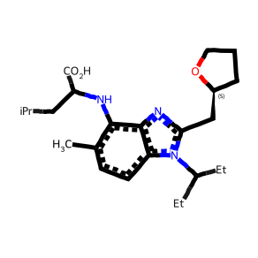 CCC(CC)n1c(C[C@@H]2CCCO2)nc2c(NC(CC(C)C)C(=O)O)c(C)ccc21